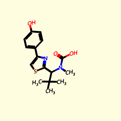 CN(C(=O)O)C(c1nc(-c2ccc(O)cc2)cs1)C(C)(C)C